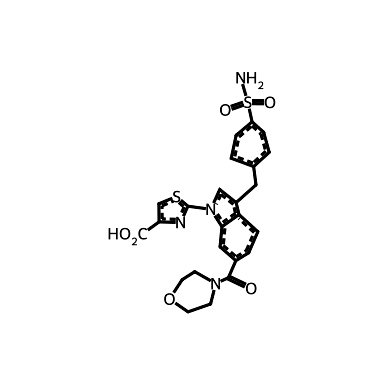 NS(=O)(=O)c1ccc(Cc2cn(-c3nc(C(=O)O)cs3)c3cc(C(=O)N4CCOCC4)ccc23)cc1